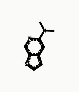 CN(C)c1cc2ccsc2cn1